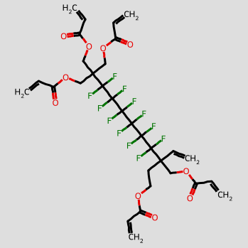 C=CC(=O)OCCC(C=C)(COC(=O)C=C)C(F)(F)C(F)(F)C(F)(F)C(F)(F)C(F)(F)C(F)(F)C(COC(=O)C=C)(COC(=O)C=C)COC(=O)C=C